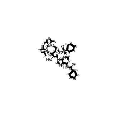 Cc1ccc(S(=O)(=O)OC[C@@]23CO[Si](C(C)C)(C(C)C)O[Si](C(C)C)(C(C)C)O[C@H]2[C@@H](O)[C@H](n2cnc4c(NC(=O)c5ccccc5)ncnc42)O3)cc1